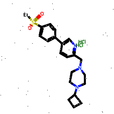 CCS(=O)(=O)c1ccc(-c2ccc(CN3CCN(C4CCC4)CC3)nc2)cc1.Cl.Cl